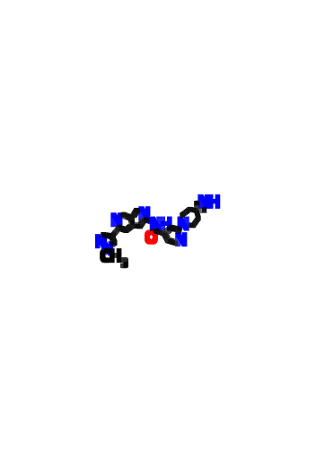 Cn1cc(-c2cc3cc(NC(=O)c4ccnc(N5CCC6(CC5)CNC6)c4)ncc3cn2)cn1